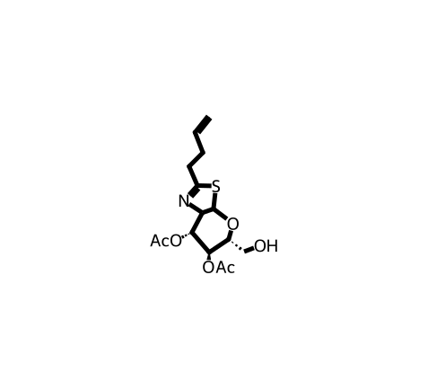 C=CCCC1=NC2C(O[C@H](CO)[C@@H](OC(C)=O)[C@@H]2OC(C)=O)S1